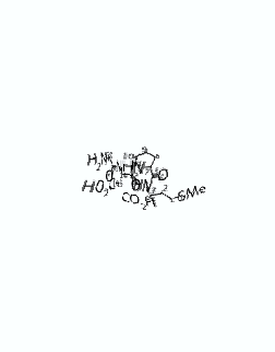 CSCC[C@H](NC(=O)[C@@H]1CCCN1C(=O)[C@H](CC(=O)O)NC(=O)CN)C(=O)O